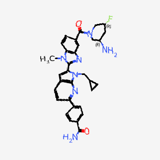 Cn1c(-c2cc3ccc(-c4ccc(C(N)=O)cc4)nc3n2CC2CC2)nc2cc(C(=O)N3C[C@H](N)C[C@@H](F)C3)ccc21